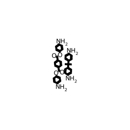 CC(C)(c1ccc(N)cc1)c1ccc(N)cc1.Nc1ccc(OC(=O)c2ccc(C(=O)Oc3ccc(N)cc3)cc2)cc1